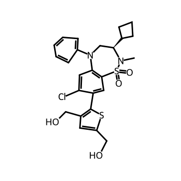 CN1[C@H](C2CCC2)CN(c2ccccc2)c2cc(Cl)c(-c3sc(CO)cc3CO)cc2S1(=O)=O